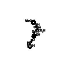 COc1ccc(NC(=O)N[C@@H](CNC(=O)c2ccc(OCCNC3=NCCCN3)cc2O)C(=O)O)cc1